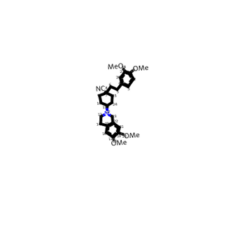 COc1ccc(CCC2(C#N)CCC(N3CCc4cc(OC)c(OC)cc4C3)CC2)cc1OC